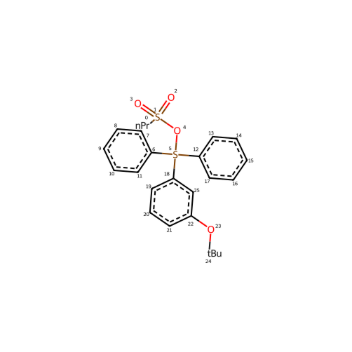 CCCS(=O)(=O)OS(c1ccccc1)(c1ccccc1)c1cccc(OC(C)(C)C)c1